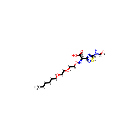 CCCCCCOCCOCCON=C(C(=O)O)c1nsc(NC=O)n1